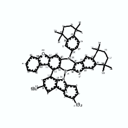 CC(C)(C)c1ccc2c(c1)c1cc(C(C)(C)C)cc3c1n2B1c2sc4cc5c(cc4c2N(c2ccc4c(c2)C(C)(C)CCC4(C)C)c2cc4oc6ccccc6c4c-3c21)C(C)(C)CCC5(C)C